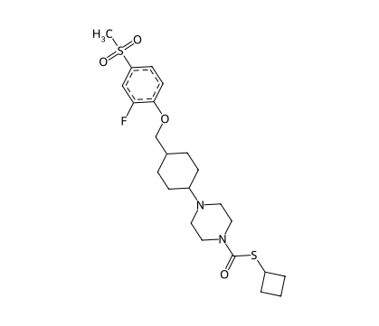 CS(=O)(=O)c1ccc(OCC2CCC(N3CCN(C(=O)SC4CCC4)CC3)CC2)c(F)c1